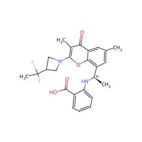 Cc1cc([C@@H](C)Nc2ccccc2C(=O)O)c2oc(N3CC(C(C)(F)F)C3)c(C)c(=O)c2c1